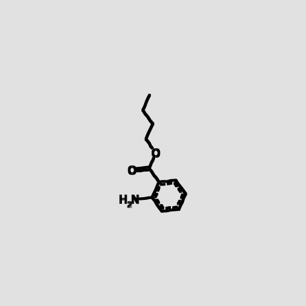 CCCCOC(=O)c1ccccc1N